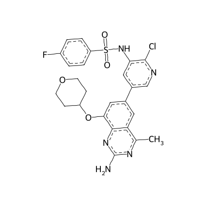 Cc1nc(N)nc2c(OC3CCOCC3)cc(-c3cnc(Cl)c(NS(=O)(=O)c4ccc(F)cc4)c3)cc12